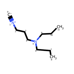 [C-]#[N+]CCCN(CCC)CCC